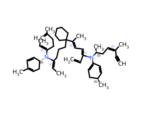 C#C/C(C)=C\C[C@H](C)N(C1=CC[C@H](C)C=C1)/C(C=C)=C/C=C(\C)C1(CCC/C(=C\C)N(/C(=C/C)CCC(=C)C)[C@H]2C=CC(C)=CC2)CCCCC1